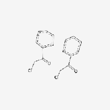 O=C(CCl)c1ccccc1.O=C(CCl)c1ccccc1